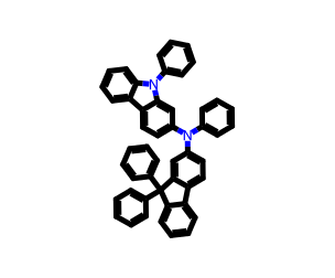 c1ccc(N(c2ccc3c(c2)C(c2ccccc2)(c2ccccc2)c2ccccc2-3)c2ccc3c4ccccc4n(-c4ccccc4)c3c2)cc1